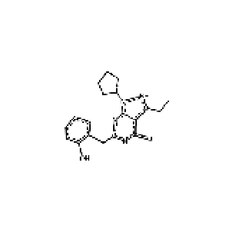 CCc1[nH]n(C2CCCC2)c2nc(Cc3ccccc3O)nc(=O)c1-2